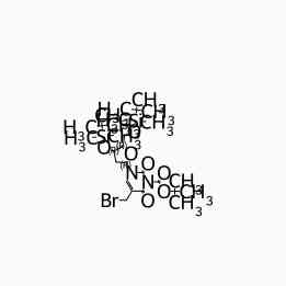 CC(C)(C)OC(=O)n1c(=O)c(CBr)cn([C@H]2C[C@@H](O[Si](C)(C)C(C)(C)C)[C@@H](CO[Si](C)(C)C(C)(C)C)O2)c1=O